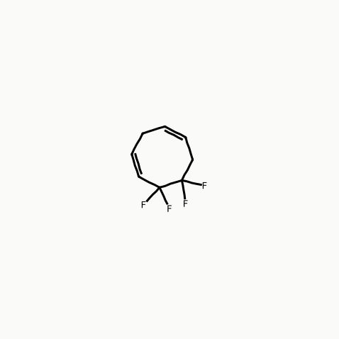 FC1(F)/C=C\C/C=C\CC1(F)F